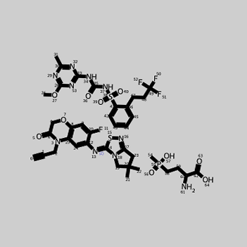 C#CCN1C(=O)COc2cc(F)c(/N=c3\snc4n3CC(C)(C)C4)cc21.COc1nc(C)nc(NC(=O)NS(=O)(=O)c2ccccc2CCC(F)(F)F)n1.CP(=O)(O)CCC(N)C(=O)O